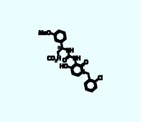 COc1cccc([C@H](CC(=O)O)NC(=O)Nc2c(O)ccn(Cc3ccccc3Cl)c2=O)c1